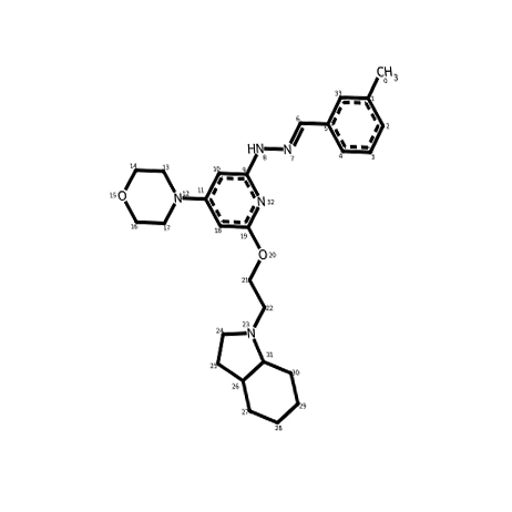 Cc1cccc(/C=N/Nc2cc(N3CCOCC3)cc(OCCN3CCC4CCCCC43)n2)c1